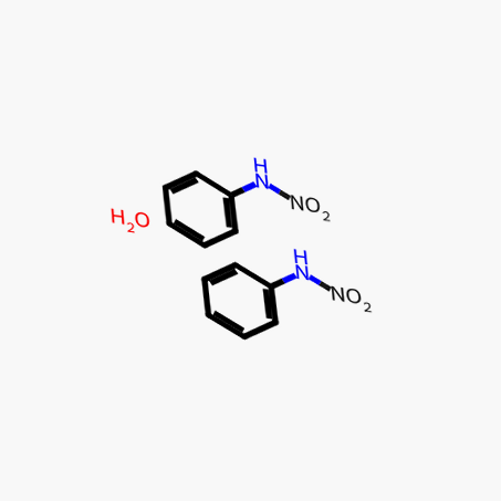 O.O=[N+]([O-])Nc1ccccc1.O=[N+]([O-])Nc1ccccc1